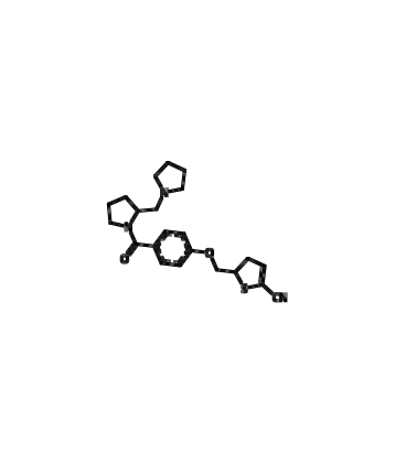 N#CC1=CCC(COc2ccc(C(=O)N3CCCC3CN3CCCC3)cc2)S1